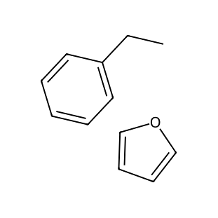 CCc1ccccc1.c1ccoc1